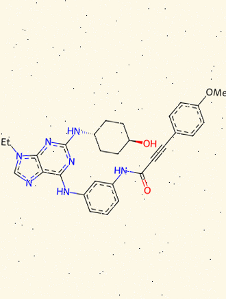 CCn1cnc2c(Nc3cccc(NC(=O)C#Cc4ccc(OC)cc4)c3)nc(N[C@H]3CC[C@H](O)CC3)nc21